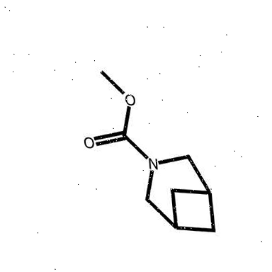 COC(=O)N1CC2CC(C2)C1